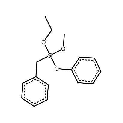 CCO[Si](Cc1ccccc1)(OC)Oc1ccccc1